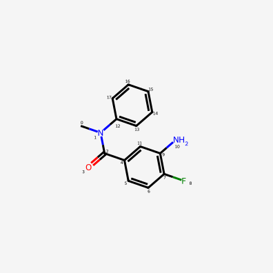 CN(C(=O)c1ccc(F)c(N)c1)c1ccccc1